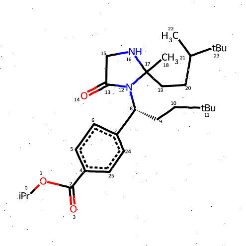 CC(C)OC(=O)c1ccc([C@@H](CCC(C)(C)C)N2C(=O)CNC2(C)CCC(C)C(C)(C)C)cc1